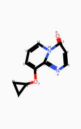 O=c1ccnc2c(OC3CC3)cccn12